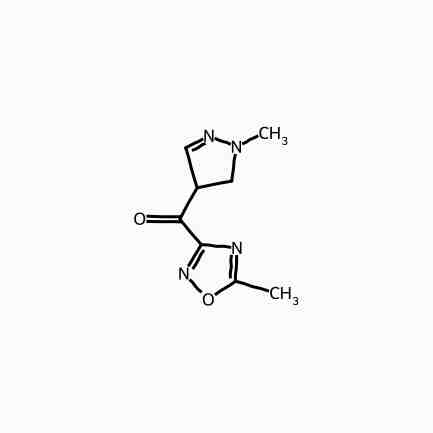 Cc1nc(C(=O)C2C=NN(C)C2)no1